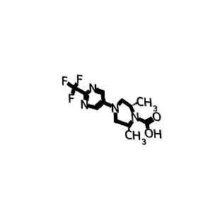 C[C@@H]1CN(c2cnc(C(F)(F)F)nc2)C[C@H](C)N1C(=O)O